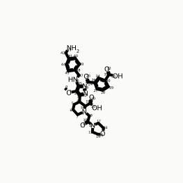 COc1c(C2CCCN(CC(=O)N3CCOCC3)C2C(=O)O)nn(C(=O)c2cccc(C(=O)O)c2)c1NCc1ccc(CN)cc1